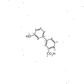 O=C(O)c1cc(-c2cccc(O)c2)ccn1